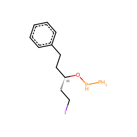 PPO[C@H](CCI)CCc1ccccc1